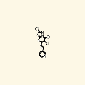 O=c1c(Cl)c(/C=C/c2cccnc2)nc2sc(Cl)nn12